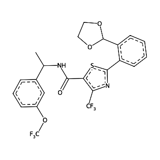 CC(NC(=O)c1sc(-c2ccccc2C2OCCO2)nc1C(F)(F)F)c1cccc(OC(F)(F)F)c1